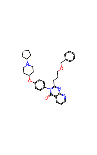 O=c1c2cccnc2nc(CCCOCc2ccccc2)n1-c1ccc(OC2CCN(C3CCCC3)CC2)cc1